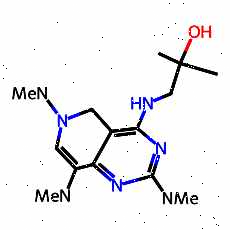 CNC1=CN(NC)Cc2c(NCC(C)(C)O)nc(NC)nc21